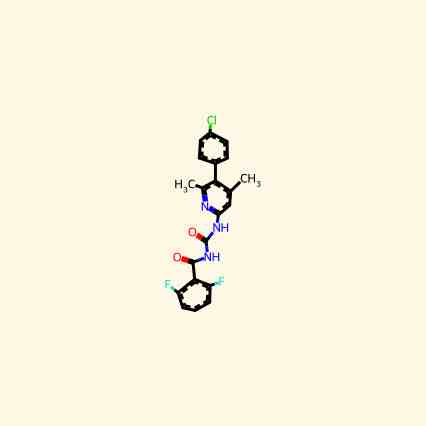 Cc1cc(NC(=O)NC(=O)c2c(F)cccc2F)nc(C)c1-c1ccc(Cl)cc1